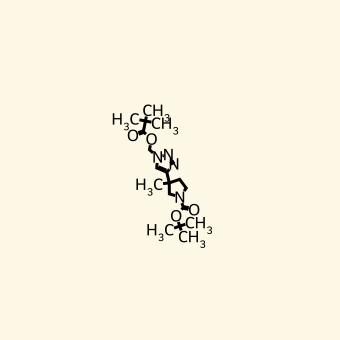 CC(C)(C)OC(=O)N1CCC(C)(c2cn(COC(=O)C(C)(C)C)nn2)C1